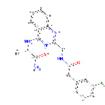 CC(C)[C@H](Nc1nc(CNC(=O)Cc2cccc(Cl)c2)nc2ccccc12)C(N)=O